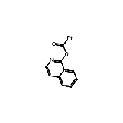 CCC(=O)Oc1nccc2ccccc12